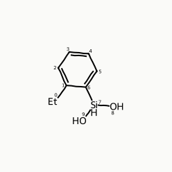 CCc1ccccc1[SiH](O)O